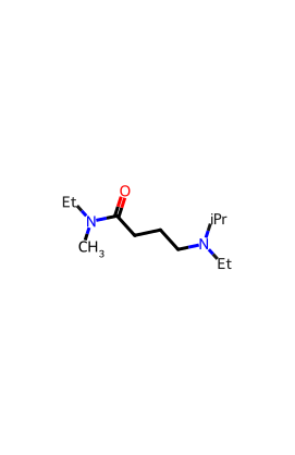 CCN(C)C(=O)CCCN(CC)C(C)C